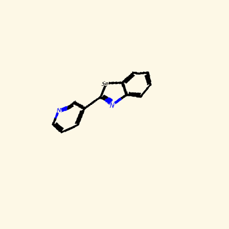 c1cncc(-c2nc3ccccc3[se]2)c1